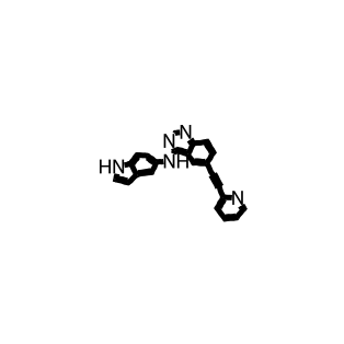 C(#Cc1ccccn1)c1ccc2ncnc(Nc3ccc4[nH]ccc4c3)c2c1